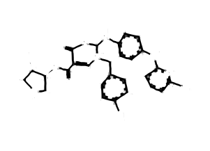 O=C1NC(Nc2ccc(Oc3cccc(F)n3)cc2)N(Cc2ccc(Cl)cc2)C=C1C(=O)N[C@H]1COC[C@@H]1O